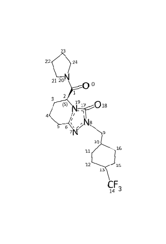 O=C([C@@H]1CCCc2nn(CC3CCC(C(F)(F)F)CC3)c(=O)n21)N1CCCC1